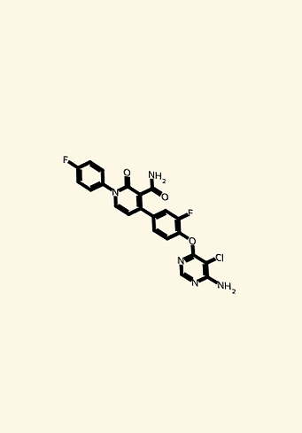 NC(=O)c1c(-c2ccc(Oc3ncnc(N)c3Cl)c(F)c2)ccn(-c2ccc(F)cc2)c1=O